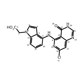 O=C(O)Cn1ccc2c(Nc3nc(Cl)cc4nc[nH]c(=O)c34)cccc21